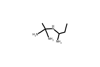 CCC(N)NC(C)(N)N